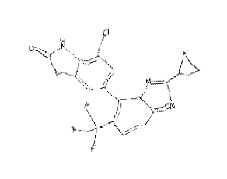 O=C1Cc2cc(-c3c(C(F)(F)F)ccc4nc(C5CC5)nn34)cc(Cl)c2N1